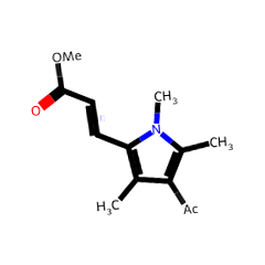 COC(=O)/C=C/c1c(C)c(C(C)=O)c(C)n1C